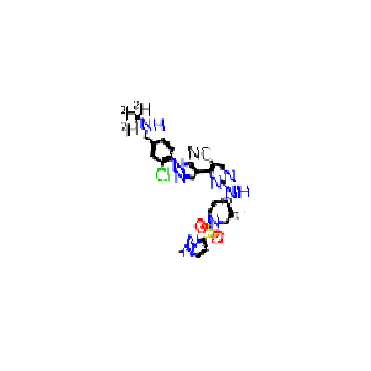 [2H]C([2H])([2H])NCc1ccc(-n2cc(-c3nc(N[C@H]4CCN(S(=O)(=O)c5ccn(C)n5)C[C@H]4C)ncc3C#N)cn2)c(Cl)c1